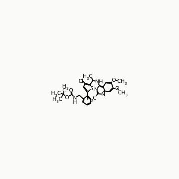 COc1cc2nc(C)nc(NC(C)c3sc(-c4ccccc4CNC(=O)OC(C)(C)C)cc3Cl)c2cc1OC